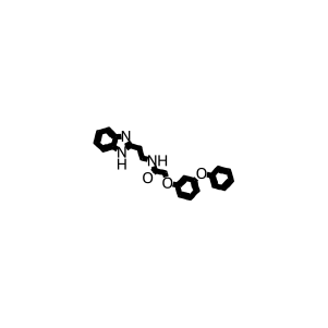 O=C(COc1cccc(Oc2ccccc2)c1)NCCc1nc2ccccc2[nH]1